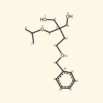 CC(C)OCC(CO)(CO)CCOCc1ccccc1